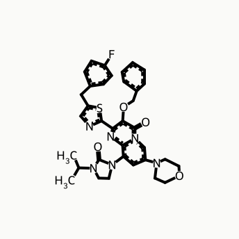 CC(C)N1CCN(c2cc(N3CCOCC3)cn3c(=O)c(OCc4ccccc4)c(-c4ncc(Cc5ccc(F)cc5)s4)nc23)C1=O